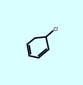 ClC1C=CC=[C]C1